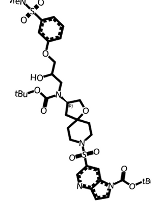 CNS(=O)(=O)c1cccc(OCC(O)CN(C(=O)OC(C)(C)C)[C@H]2COC3(CCN(S(=O)(=O)c4cnc5ccn(C(=O)OC(C)(C)C)c5c4)CC3)C2)c1